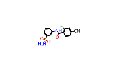 N#Cc1ccc(C(=O)Nc2cccc(S(N)(=O)=O)c2)c(F)c1